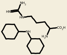 C1CCC(NC2CCCCC2)CC1.N=C(N)NCCCC(N)C(=O)O